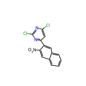 O=[N+]([O-])c1cc2ccccc2cc1-c1cc(Cl)nc(Cl)n1